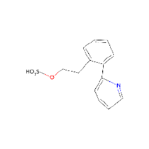 O=S(=O)(O)OCCc1ccccc1-c1ccccn1